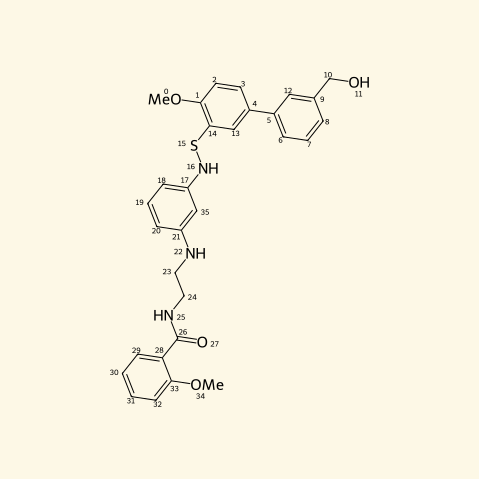 COc1ccc(-c2cccc(CO)c2)cc1SNc1cccc(NCCNC(=O)c2ccccc2OC)c1